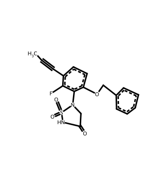 CC#Cc1ccc(OCc2ccccc2)c(N2CC(=O)NS2(=O)=O)c1F